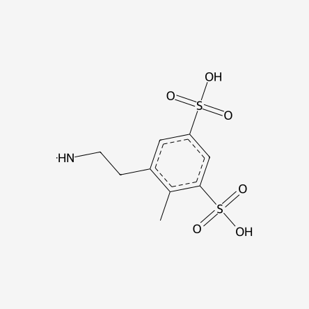 Cc1c(CC[NH])cc(S(=O)(=O)O)cc1S(=O)(=O)O